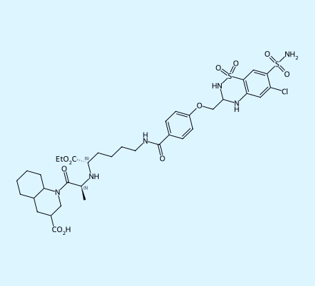 CCOC(=O)[C@H](CCCCNC(=O)c1ccc(OCC2Nc3cc(Cl)c(S(N)(=O)=O)cc3S(=O)(=O)N2)cc1)N[C@@H](C)C(=O)N1CC(C(=O)O)CC2CCCCC21